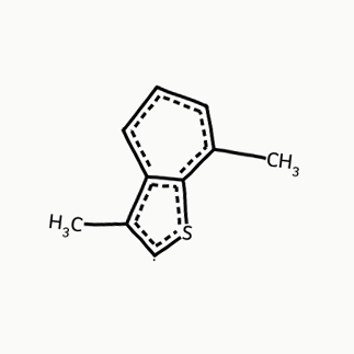 Cc1[c]sc2c(C)cccc12